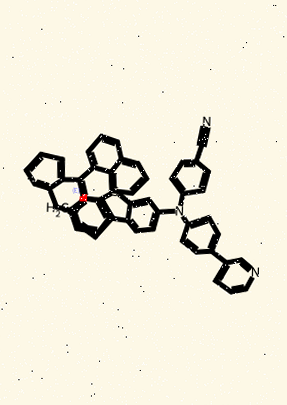 C=c1cccc/c1=C(/c1ccccc1Cc1ccc2c(c1)sc1cc(N(c3ccc(C#N)cc3)c3ccc(-c4cccnc4)cc3)ccc12)c1cccc2ccccc12